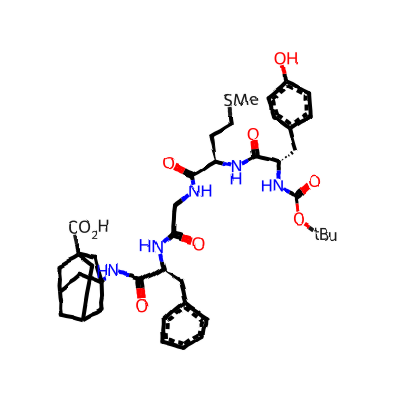 CSCC[C@@H](NC(=O)[C@H](Cc1ccc(O)cc1)NC(=O)OC(C)(C)C)C(=O)NCC(=O)N[C@@H](Cc1ccccc1)C(=O)NC12CC3CC(C1)CC(C(=O)O)(C3)C2